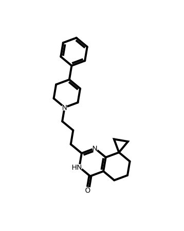 O=c1[nH]c(CCCN2CC=C(c3ccccc3)CC2)nc2c1CCCC21CC1